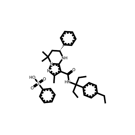 CCc1ccc(C(CC)(CC)NC(=O)c2c(C)nn3c2N[C@@H](c2ccccc2)CC3(C)C)cc1.O=S(=O)(O)c1ccccc1